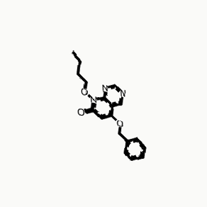 CCCCOn1c(=O)cc(OCc2ccccc2)c2cncnc21